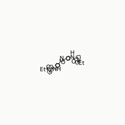 CCC(=O)N1CCC[C@H]1C(=O)Nc1ccc(-c2cnc(-c3ccc(NC(=O)[C@@H]4CCCN4C(=O)CC)cc3)o2)cc1